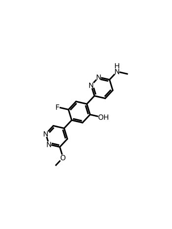 CNc1ccc(-c2cc(F)c(-c3cnnc(OC)c3)cc2O)nn1